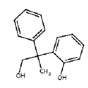 CC(CO)(c1ccccc1)c1ccccc1O